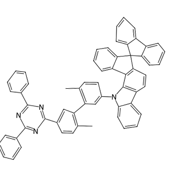 Cc1ccc(-c2nc(-c3ccccc3)nc(-c3ccccc3)n2)cc1-c1cc(-n2c3ccccc3c3ccc4c(c32)-c2ccccc2C42c3ccccc3-c3ccccc32)ccc1C